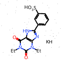 CCn1c(=O)c2[nH]c(-c3cccc(S(=O)(=O)O)c3)nc2n(CC)c1=O.[KH]